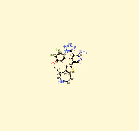 COc1ccc(-n2nnnc2-c2cc(-c3cc4c(s3)CCNCC4C)cnc2N)c(F)c1F